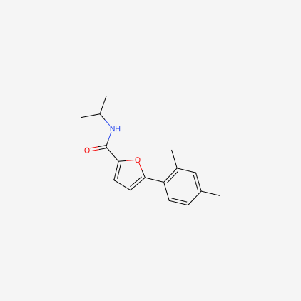 Cc1ccc(-c2ccc(C(=O)NC(C)C)o2)c(C)c1